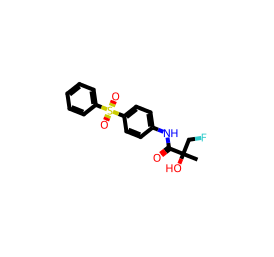 CC(O)(CF)C(=O)Nc1ccc(S(=O)(=O)c2ccccc2)cc1